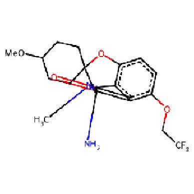 COC1CCC2(CC1)Oc1ccc(OCC(F)(F)F)cc1C21N=C(N)N(C)C1=O